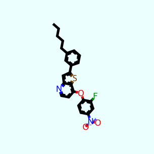 CCCCCc1cccc(-c2cc3nccc(Oc4ccc([N+](=O)[O-])cc4F)c3s2)c1